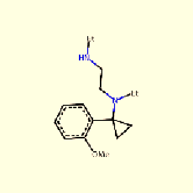 CCNCCN(CC)C1(c2ccccc2OC)CC1